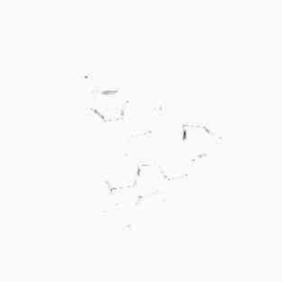 COc1cccc(Cc2nc(NC(C)c3ccc(C(F)(F)P)cc3)c(C(=N)C#N)c(=O)[nH]2)c1